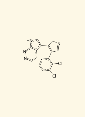 Clc1cccc(C2=C(c3c[nH]c4nnccc34)CN=C2)c1Cl